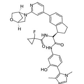 Cc1ncn(C)c1-c1ccc(NC(=O)C(NC(=O)C2(F)CC2)[C@@H]2CCc3ccc(-c4ccnc(N5C[C@@H]6C[C@H]5CO6)c4)cc32)cc1O